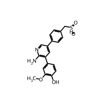 COc1cc(-c2cc(-c3ccc(C[SH](=O)=O)cc3)cnc2N)ccc1O